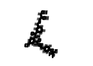 O=C(Nc1ccc(Cl)cc1C(=O)NN=Cc1ccc(OC(F)(F)F)cc1)c1cccc(CSCC(O)CO)c1